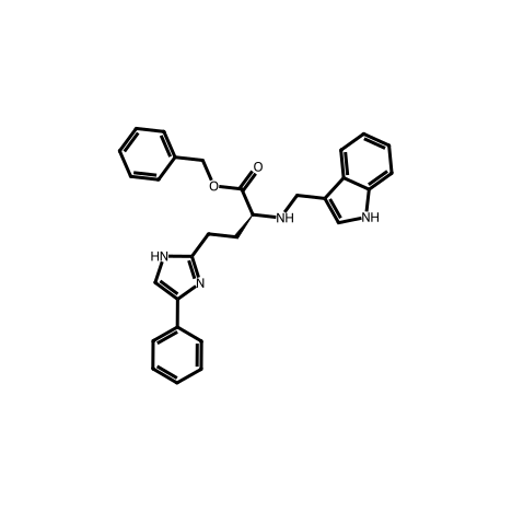 O=C(OCc1ccccc1)[C@H](CCc1nc(-c2ccccc2)c[nH]1)NCc1c[nH]c2ccccc12